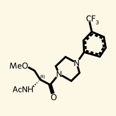 COC[C@@H](NC(C)=O)C(=O)N1CCN(c2cccc(C(F)(F)F)c2)CC1